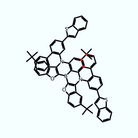 CC(C)(C)c1cc2c3c(c1)N(c1cc(-c4cc5ccccc5s4)ccc1-c1ccccc1)c1c(oc4ccc(C(C)(C)C)cc14)B3c1oc3ccc(C(C)(C)C)cc3c1N2c1cc(-c2cc3ccccc3s2)ccc1-c1ccccc1